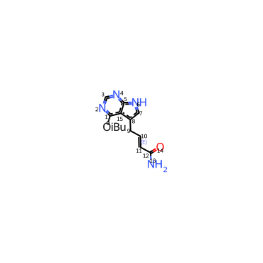 CC(C)COc1ncnc2[nH]cc(C/C=C/C(N)=O)c12